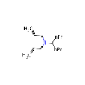 C=CCN(CC=C)C(CCC)CCC